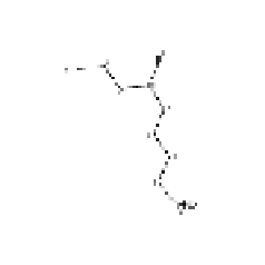 CCCCCCCCCCC(CC)CCI